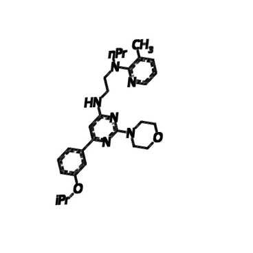 CCCN(CCNc1cc(-c2cccc(OC(C)C)c2)nc(N2CCOCC2)n1)c1ncccc1C